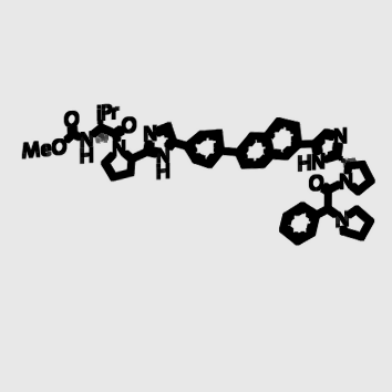 COC(=O)N[C@H](C(=O)N1CCCC1c1ncc(-c2ccc(-c3ccc4cc(-c5cnc([C@@H]6CCCN6C(=O)C(c6ccccc6)N6CCCC6)[nH]5)ccc4c3)cc2)[nH]1)C(C)C